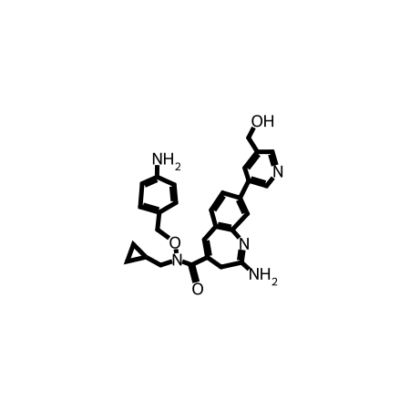 NC1=Nc2cc(-c3cncc(CO)c3)ccc2C=C(C(=O)N(CC2CC2)OCc2ccc(N)cc2)C1